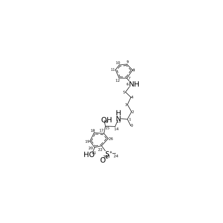 CC(CCCCNc1ccccc1)NCC(O)c1ccc(O)c([S+](C)[O-])c1